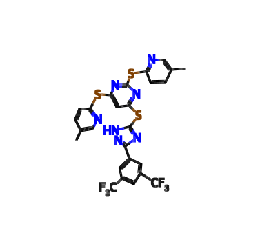 Cc1ccc(Sc2cc(Sc3nc(-c4cc(C(F)(F)F)cc(C(F)(F)F)c4)n[nH]3)nc(Sc3ccc(C)cn3)n2)nc1